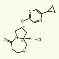 Cl.O=C1CCNC[C@H]2C[C@@H](Oc3cnc(C4CC4)cn3)CN12